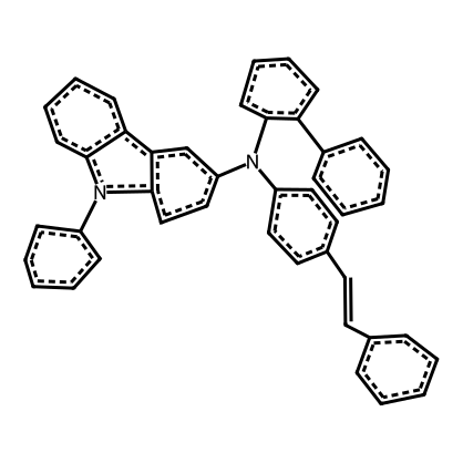 C(=C\c1ccc(N(c2ccc3c(c2)c2ccccc2n3-c2ccccc2)c2ccccc2-c2ccccc2)cc1)/c1ccccc1